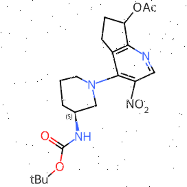 CC(=O)OC1CCc2c1ncc([N+](=O)[O-])c2N1CCC[C@H](NC(=O)OC(C)(C)C)C1